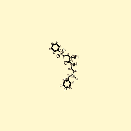 CC(C)N(CCS(=O)(=O)c1ccccc1)C(=O)NCCN(C)Cc1ccccc1